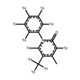 [2H]c1c([2H])c([2H])c(-n2c([2H])c(C([2H])([2H])[2H])c(C)c([2H])c2=O)c([2H])c1[2H]